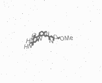 COCCOc1cncc(-c2cc3c(cn2)CCc2c-3nn3c2C(=O)NC2(CNC2)C3)c1